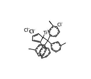 Cc1cccc(C(c2cccc(C)c2)(c2cccc(C)c2)[C]2([Ti+3])C=CC=C2c2ccccc2)c1.[Cl-].[Cl-].[Cl-]